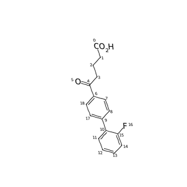 O=C(O)CCCC(=O)c1ccc(-c2ccccc2F)cc1